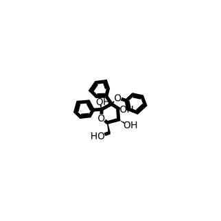 OC[C@H]1O[C@@](O)(c2ccccc2)[C@@](Oc2ccccc2)(c2ccccc2)[C@@H](O)[C@@H]1O